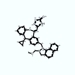 COCN1Cc2ccc3ccccc3c2N1Cc1ccc2c(c1)C(=Cc1noc(=O)[nH]1)Oc1ccccc1C2C1CC1